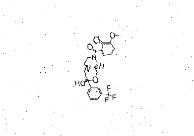 COc1cccc(C(=O)N2CCN3C[C@@](O)(c4cccc(C(F)(F)F)c4)OC[C@@H]3C2)c1Cl